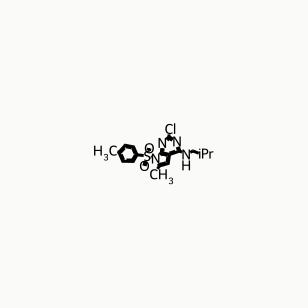 Cc1ccc(S(=O)(=O)n2c(C)cc3c(NCC(C)C)nc(Cl)nc32)cc1